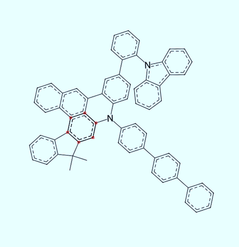 CC1(C)c2ccccc2-c2ccc(N(c3ccc(-c4ccc(-c5ccccc5)cc4)cc3)c3ccc(-c4ccccc4-n4c5ccccc5c5ccccc54)cc3-c3cc4ccccc4c4ccccc34)cc21